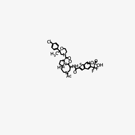 CC(=O)N1CC[C@H]2CC[C@@H](C(=O)N3CCOC(C)(c4ccc(Cl)cc4)C3)N2C(=O)[C@@H](NC(=O)c2cc3cc(C(F)(F)P(=O)(O)O)ccc3s2)C1